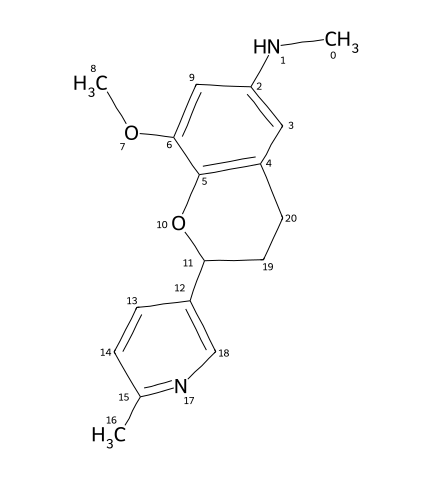 CNc1cc2c(c(OC)c1)OC(c1ccc(C)nc1)CC2